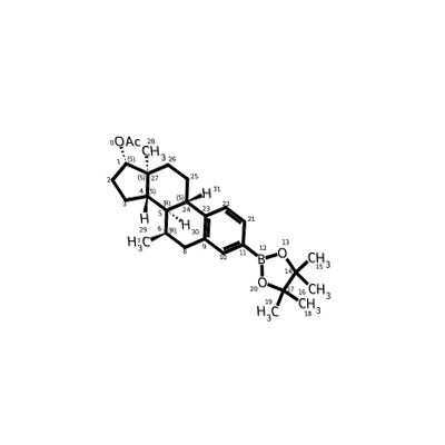 CC(=O)O[C@H]1CC[C@H]2[C@@H]3[C@H](C)Cc4cc(B5OC(C)(C)C(C)(C)O5)ccc4[C@H]3CC[C@]12C